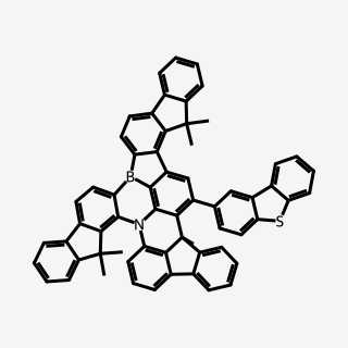 CC1(C)c2ccccc2-c2ccc3c(c21)-c1cc(-c2ccc4sc5ccccc5c4c2)c2c4c1B3c1ccc3c(c1N4c1cccc4c1C2(C)c1ccccc1-4)C(C)(C)c1ccccc1-3